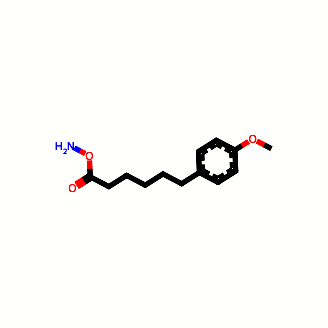 COc1ccc(CCCCCC(=O)ON)cc1